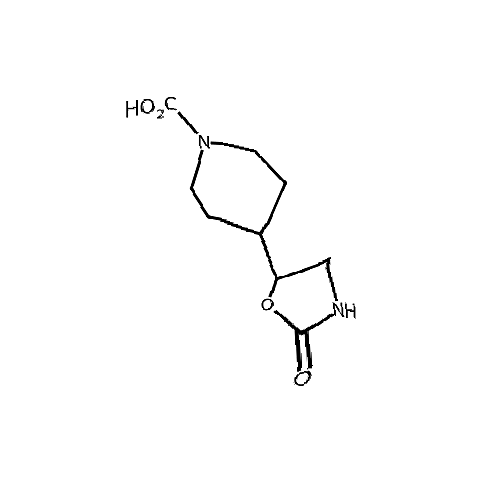 O=C1NCC(C2CCN(C(=O)O)CC2)O1